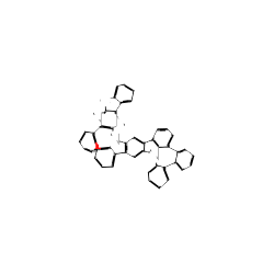 c1ccc(-c2nc3oc4ccccc4c3nc2-n2c3ccccc3c3cc4c(cc32)c2cccc3c2n4-c2ccccc2-c2ccccc2-3)cc1